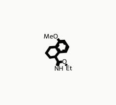 CCOC(=N)C1CCCc2c(OC)cccc21